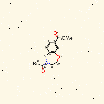 COC(=O)c1ccc2c(c1)OCCN(C(=O)C(C)(C)C)C2